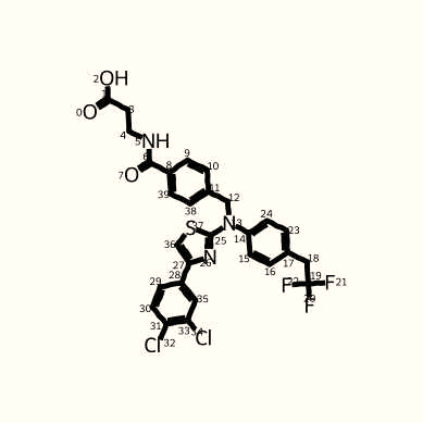 O=C(O)CCNC(=O)c1ccc(CN(c2ccc(CC(F)(F)F)cc2)c2nc(-c3ccc(Cl)c(Cl)c3)cs2)cc1